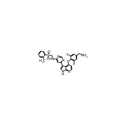 Cc1ccccc1S(=O)(=O)CNc1cc(-c2c[nH]c3nccc(Oc4c(F)cc(CN)cc4F)c23)ncn1